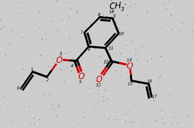 C=CCOC(=O)c1ccccc1C(=O)OCC=C.[CH3]